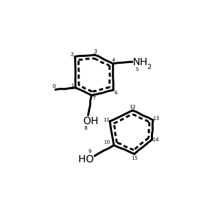 Cc1ccc(N)cc1O.Oc1ccccc1